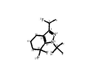 CC(F)c1nn(C(C)(C)C)c2c1CCCC2(F)F